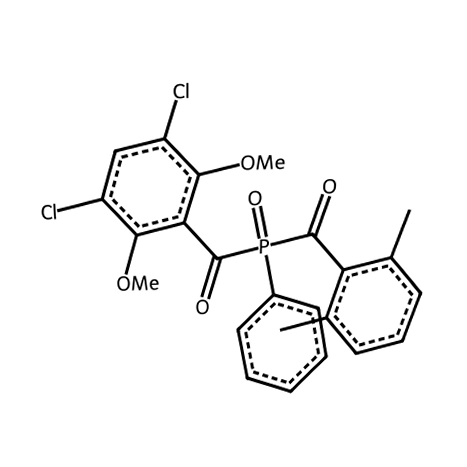 COc1c(Cl)cc(Cl)c(OC)c1C(=O)P(=O)(C(=O)c1c(C)cccc1C)c1ccccc1